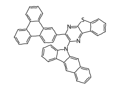 c1ccc2cc3c(cc2c1)c1ccccc1n3-c1nc2c(nc1-c1ccc3c4ccccc4c4ccccc4c3c1)sc1ccccc12